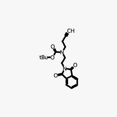 C#CCCN(CCN1C(=O)c2ccccc2C1=O)C(=O)OC(C)(C)C